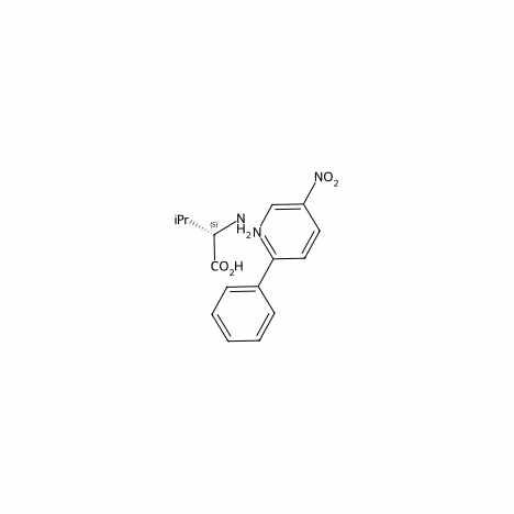 CC(C)[C@H](N)C(=O)O.O=[N+]([O-])c1ccc(-c2ccccc2)nc1